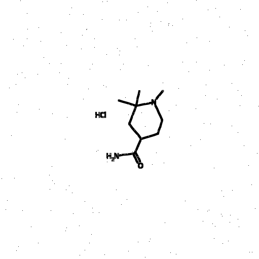 CN1CCC(C(N)=O)CC1(C)C.Cl